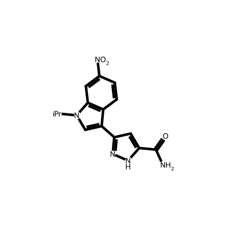 CC(C)n1cc(-c2cc(C(N)=O)[nH]n2)c2ccc([N+](=O)[O-])cc21